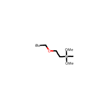 CCC(C)COCC[Si](C)(OC)OC